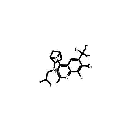 CC(F)CNC1CC2CC1N2c1nc(F)nc2c(F)c(Br)c(C(F)(F)F)cc12